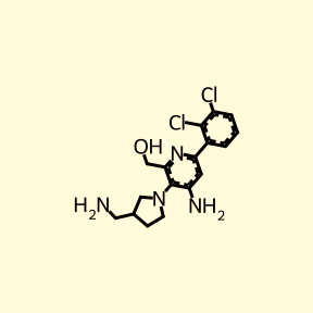 NCC1CCN(c2c(N)cc(-c3cccc(Cl)c3Cl)nc2CO)C1